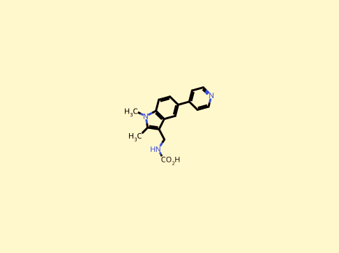 Cc1c(CNC(=O)O)c2cc(-c3ccncc3)ccc2n1C